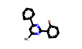 N#Cc1cc(-c2ccccc2)nc(-c2ccccc2Br)n1